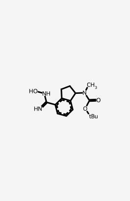 CN(C(=O)OC(C)(C)C)C1CCc2c(C(=N)NO)cccc21